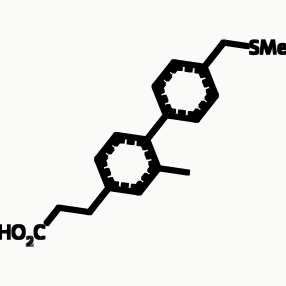 CSCc1ccc(-c2ccc(CCC(=O)O)cc2C)cc1